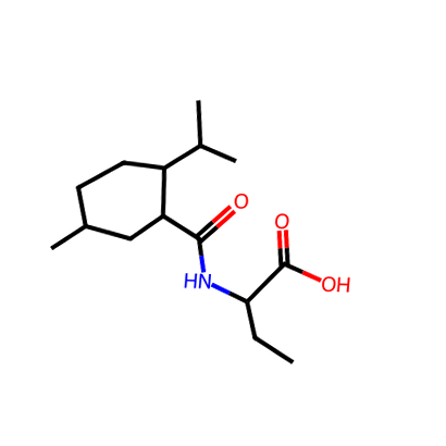 CCC(NC(=O)C1CC(C)CCC1C(C)C)C(=O)O